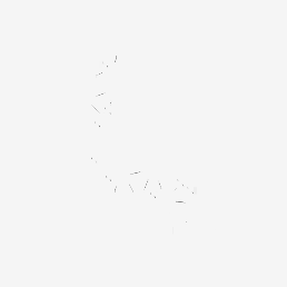 CC1(C)CCc2c(-c3cc4ccc(C(=O)N5CCN(CC6CCN(c7ncc(C8CCC(=O)NC8=O)cc7F)CC6)CC5)cc4[nH]3)n[nH]c2C1